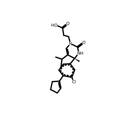 CC(C)C1=CN(CCC(=O)O)C(=O)N[C@]1(C)c1ccc(C2=CCCC2)c(Cl)c1